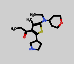 CCC(=O)c1c(C2CCNC2)sc(N(CC)C2CCOCC2)c1C